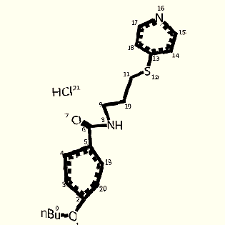 CCCCOc1ccc(C(=O)NCCCSc2ccncc2)cc1.Cl